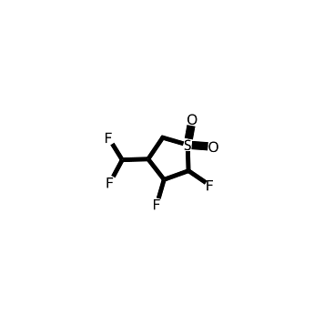 O=S1(=O)CC(C(F)F)C(F)C1F